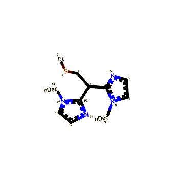 [CH2]CSCC(c1nccn1CCCCCCCCCC)c1nccn1CCCCCCCCCC